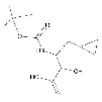 C=C(O)C(O)C(CC1CC1)NC(=O)OC(C)(C)C